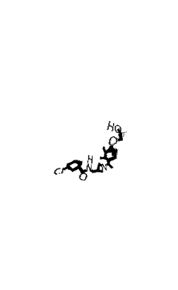 Cc1c(OC[C@@H](C)O)ccc(C(C)N2CC(CNC(=O)c3cccc(Cl)c3)C2)c1C